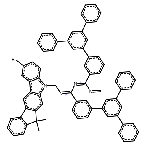 C=N/C(=N\C(=N/Cn1c2ccc(Br)cc2c2cc3c(cc21)C(C)(C)c1ccccc1-3)c1cccc(-c2cc(-c3ccccc3)cc(-c3ccccc3)c2)c1)c1cccc(-c2cc(-c3ccccc3)cc(-c3ccccc3)c2)c1